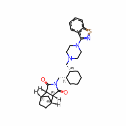 O=C1[C@@H]2[C@@H]3CC[C@@H](C3)[C@@H]2C(=O)N1C[C@H]1CCCC[C@H]1CN1CCN(c2nsc3ccccc23)CC1